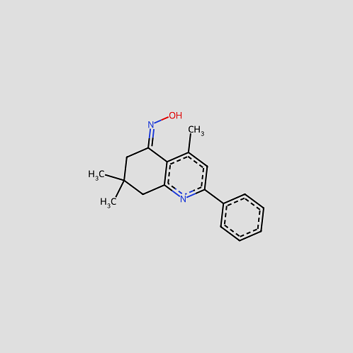 Cc1cc(-c2ccccc2)nc2c1/C(=N\O)CC(C)(C)C2